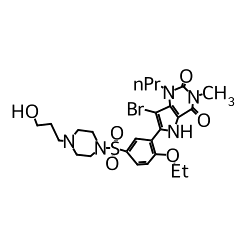 CCCn1c(=O)n(C)c(=O)c2[nH]c(-c3cc(S(=O)(=O)N4CCN(CCCO)CC4)ccc3OCC)c(Br)c21